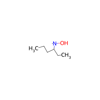 CCCC(CC)[N]O